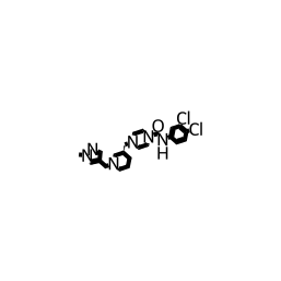 Cn1cc(CN2CCC[C@@H](CN3CCN(C(=O)Nc4ccc(Cl)c(Cl)c4)CC3)C2)cn1